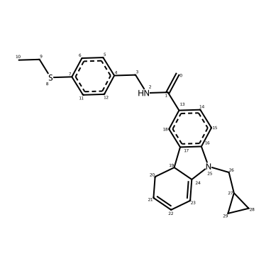 C=C(NCc1ccc(SCC)cc1)c1ccc2c(c1)C1CC=CC=C1N2CC1CC1